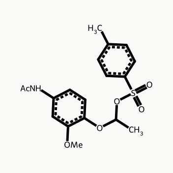 COc1cc(NC(C)=O)ccc1OC(C)OS(=O)(=O)c1ccc(C)cc1